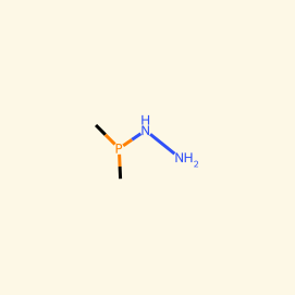 CP(C)NN